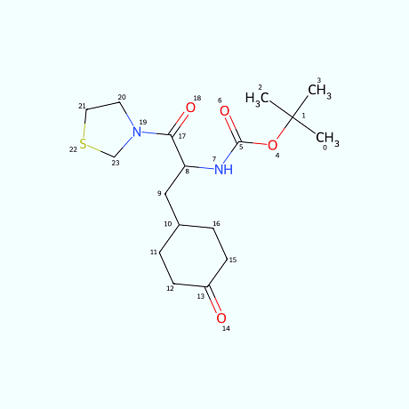 CC(C)(C)OC(=O)NC(CC1CCC(=O)CC1)C(=O)N1CCSC1